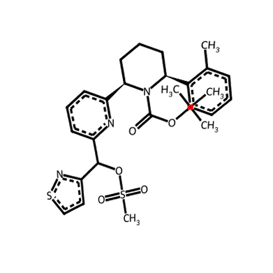 Cc1cccnc1[C@@H]1CCC[C@H](c2cccc(C(OS(C)(=O)=O)c3ccsn3)n2)N1C(=O)OC(C)(C)C